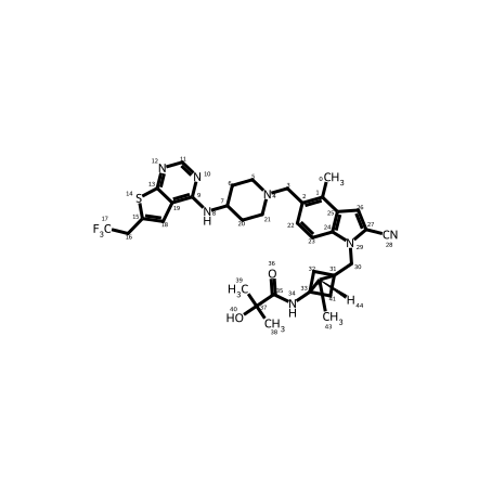 Cc1c(CN2CCC(Nc3ncnc4sc(CC(F)(F)F)cc34)CC2)ccc2c1cc(C#N)n2CC12CC(NC(=O)C(C)(C)O)(C1)[C@H]2C